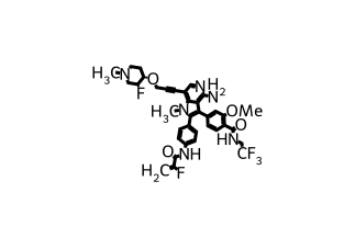 C=C(F)C(=O)Nc1ccc(-c2c(-c3ccc(C(=O)NCC(F)(F)F)c(OC)c3)c3c(N)ncc(C#CCO[C@@H]4CCN(C)C[C@@H]4F)c3n2C)cc1